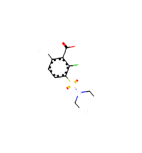 CCN(CC)S(=O)(=O)c1ccc(C)c(C(=O)O)c1Cl